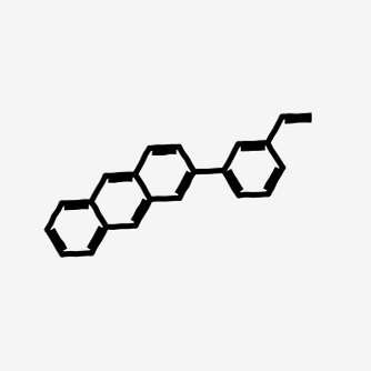 C=Cc1cccc(-c2ccc3cc4ccccc4cc3c2)c1